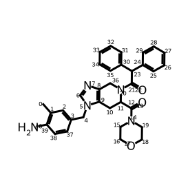 Cc1cc(Cn2cnc3c2CC(C(=O)N2CCOCC2)N(C(=O)C(c2ccccc2)c2ccccc2)C3)ccc1N